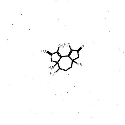 C=C1CC2(N)C(=C1C)C1=C(C)C(=O)CC1(C)CCC2C